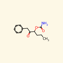 CCCC(OC(N)=O)C(=O)Cc1ccccc1